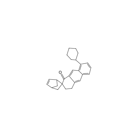 O=C1c2cc3c(C4CCCCC4)cccc3cc2CCC12CC1C=CC2C1